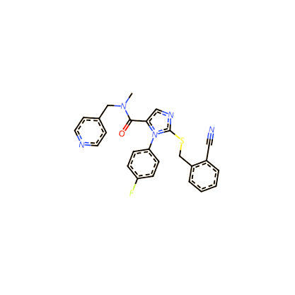 CN(Cc1ccncc1)C(=O)c1cnc(SCc2ccccc2C#N)n1-c1ccc(F)cc1